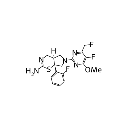 COc1nc(N2C[C@@H]3CN=C(N)S[C@@]3(c3ccccc3F)C2)nc(CF)c1F